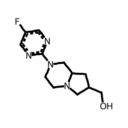 OCC1CC2CN(c3ncc(F)cn3)CCN2C1